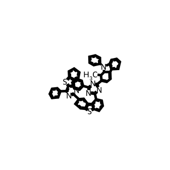 CC1C(c2nc(-c3ccccc3)nc(-c3cccc4sc5ccc(-c6nc(-c7ccccc7)c7sc8ccccc8c7n6)cc5c34)n2)=CC=C2c3ccccc3N(c3ccccc3)C21